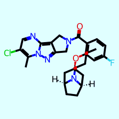 CCCCN1[C@@H]2CC[C@H]1C[C@@H](Oc1cc(F)ccc1C(=O)N1Cc3nn4c(C)c(Cl)cnc4c3C1)C2